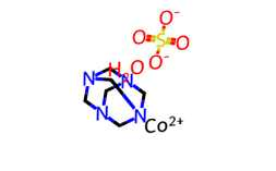 C1N2CN3CN1CN(C2)C3.O.O=S(=O)([O-])[O-].[Co+2]